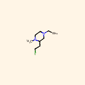 CN1CCN(CC(C)(C)C)CC1CCF